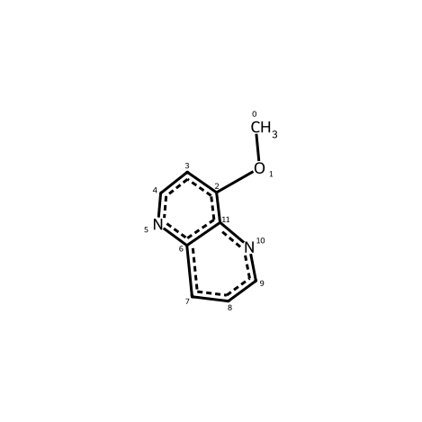 COc1ccnc2cccnc12